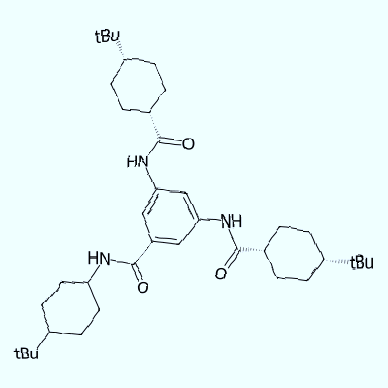 CC(C)(C)C1CCC(NC(=O)c2cc(NC(=O)[C@H]3CC[C@@H](C(C)(C)C)CC3)cc(NC(=O)[C@H]3CC[C@@H](C(C)(C)C)CC3)c2)CC1